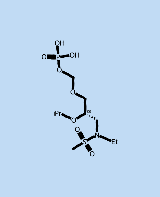 CCN(C[C@@H](COCOP(=O)(O)O)OC(C)C)S(C)(=O)=O